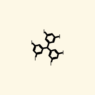 Ic1cc(I)cc([C](c2cc(I)cc(I)c2)c2cc(I)cc(I)c2)c1